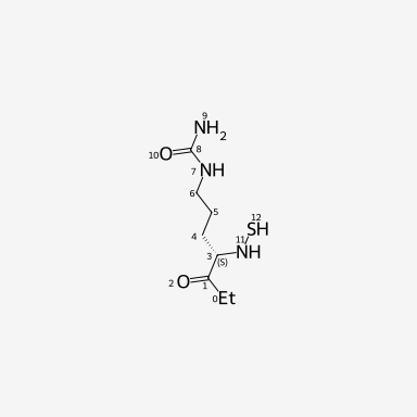 CCC(=O)[C@H](CCCNC(N)=O)NS